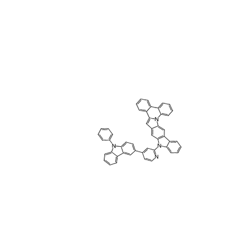 c1ccc(-n2c3ccccc3c3cc(-c4ccnc(-n5c6ccccc6c6cc7c(cc65)cc5c6ccccc6c6ccccc6n75)c4)ccc32)cc1